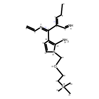 C=C/N=C(/C(C=N)=C/CC)c1ccn(COCC[Si](C)(C)C)c1N